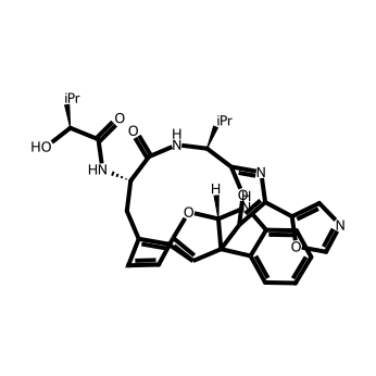 CC(C)[C@H](O)C(=O)N[C@H]1Cc2ccc3c(c2)C2(c4ccccc4N[C@H]2O3)c2oc(nc2-c2cnco2)[C@H](C(C)C)NC1=O